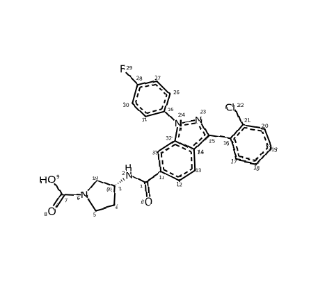 O=C(N[C@@H]1CCN(C(=O)O)C1)c1ccc2c(-c3ccccc3Cl)nn(-c3ccc(F)cc3)c2c1